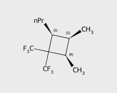 CCC[C@H]1[C@@H](C)[C@@H](C)C1(C(F)(F)F)C(F)(F)F